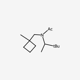 CC(=O)N(CC1(C)CCC1)C(C)C(C)(C)C